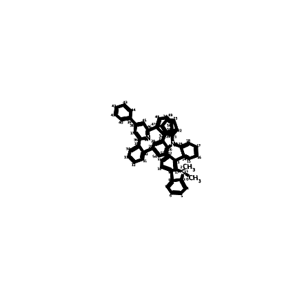 C[Si]1(C)c2ccccc2-c2cccc(-c3ccccc3-n3c4ccccc4c4cc(-c5ccccc5-c5cc(-c6ccccc6)cc(-c6ccccc6)n5)ccc43)c21